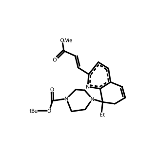 CCC1(N2CCN(C(=O)OC(C)(C)C)CC2)CC=Cc2ccc(C=CC(=O)OC)nc21